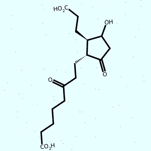 O=C(O)CCCCC(=O)CC[C@H]1C(=O)CC(O)[C@@H]1CCC(=O)O